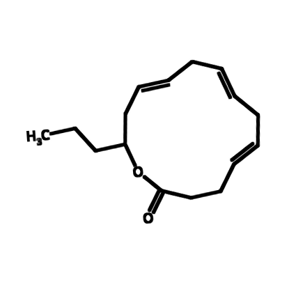 CCCC1C/C=C/C/C=C/C/C=C/CCC(=O)O1